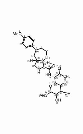 COc1ccc([C@H]2CCO[C@@H]3[C@H](CN[C@@H]3C(=O)N[C@H]([C@H](C)Cl)[C@H]3OC(SC)[C@H](O)C(O)C3O)C2)cc1